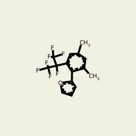 Cc1[c]c(C)c(-c2ccco2)c(C(F)(C(F)(F)F)C(F)(F)F)c1